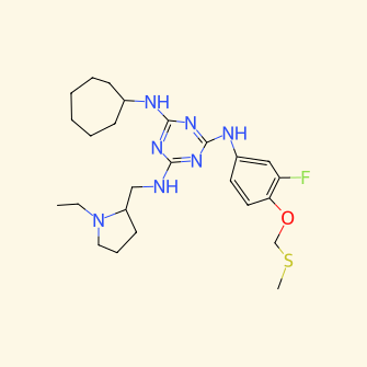 CCN1CCCC1CNc1nc(Nc2ccc(OCSC)c(F)c2)nc(NC2CCCCCC2)n1